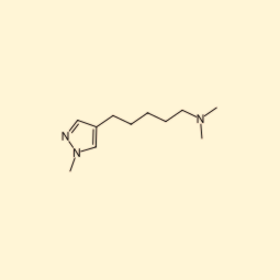 CN(C)CCCCCc1cnn(C)c1